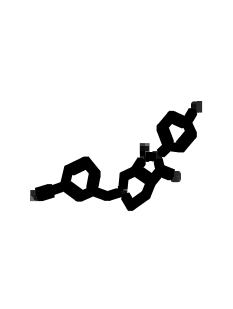 N#Cc1cccc(CN2CCc3c([nH]n(-c4ccc(Cl)cc4)c3=O)C2)c1